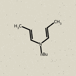 [CH2]CCCN(C=CC)C=CC